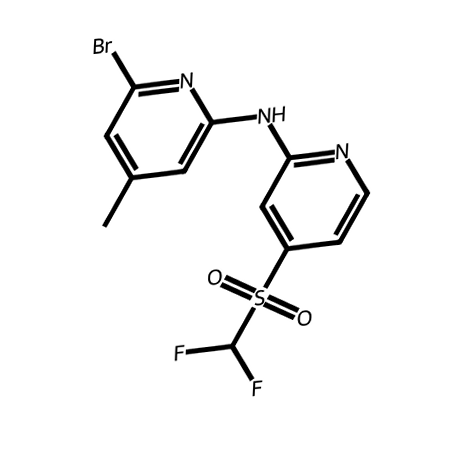 Cc1cc(Br)nc(Nc2cc(S(=O)(=O)C(F)F)ccn2)c1